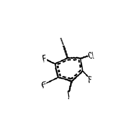 Fc1c(F)c(I)c(Cl)c(F)c1I